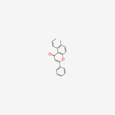 C/C=C\c1c(C)ccc2oc(-c3ccccc3)cc(=O)c12